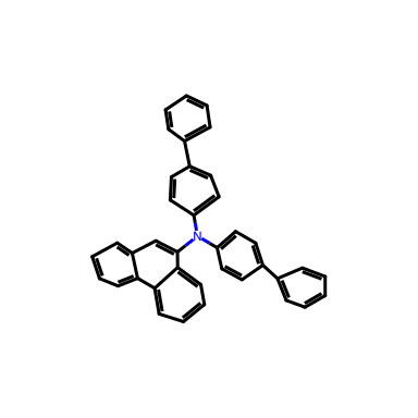 c1ccc(-c2ccc(N(c3ccc(-c4ccccc4)cc3)c3cc4ccccc4c4ccccc34)cc2)cc1